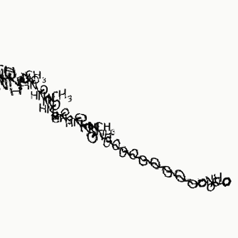 Cn1cc(NC(=O)c2nccn2C)cc1C(=O)NCCC(=O)Nc1cn(C)c(C(=O)Nc2cc(C(=O)N[C@H]3C[C@H](C(=O)Nc4cn(C)c(C(=O)NCCOCCOCCOCCOCCOCCOCCOCCOCCOc5ccc(NC(=O)OCc6ccccc6)cc5)n4)C3)n(C)c2)n1